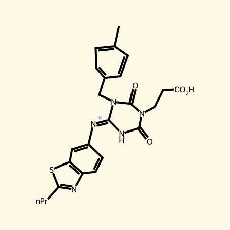 CCCc1nc2ccc(/N=c3\[nH]c(=O)n(CCC(=O)O)c(=O)n3Cc3ccc(C)cc3)cc2s1